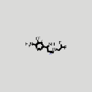 N=C(/C=C\NCC(F)F)c1cnc(N)c(C(F)(F)F)c1